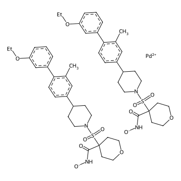 CCOc1cccc(-c2ccc(C3CCN(S(=O)(=O)C4(C(=O)N[O-])CCOCC4)CC3)cc2C)c1.CCOc1cccc(-c2ccc(C3CCN(S(=O)(=O)C4(C(=O)N[O-])CCOCC4)CC3)cc2C)c1.[Pd+2]